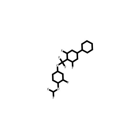 FC(F)OC1CCC(OC(F)(F)C2C(F)CC(C3CCCCC3)CC2F)CC1F